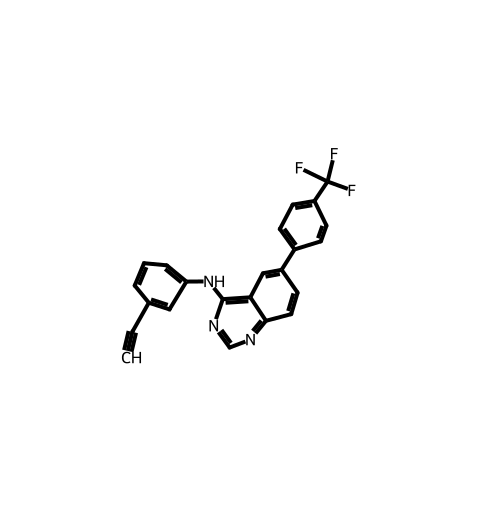 C#Cc1cccc(Nc2ncnc3ccc(-c4ccc(C(F)(F)F)cc4)cc23)c1